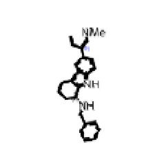 C=C/C(=C\NC)c1ccc2[nH]c3c(c2c1)CCC[C@H]3NCc1ccccc1